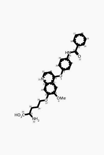 COc1cc2c(Oc3ccc(NC(=O)c4ccccc4)cc3)ccnc2cc1OCCCC(N)C(=O)O